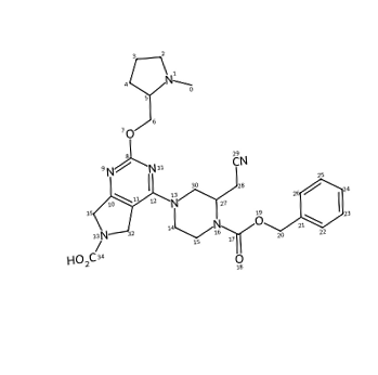 CN1CCCC1COc1nc2c(c(N3CCN(C(=O)OCc4ccccc4)C(CC#N)C3)n1)CN(C(=O)O)C2